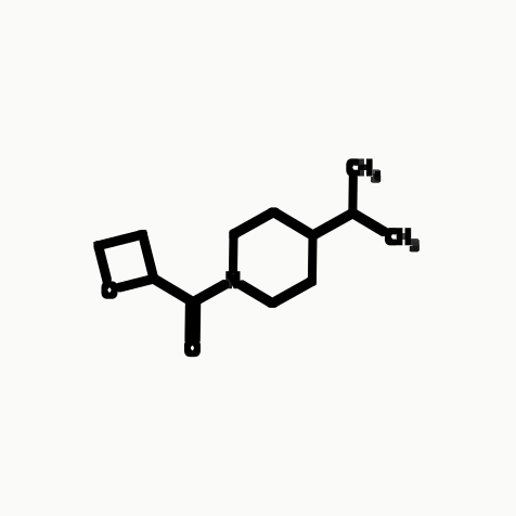 CC(C)C1CCN(C(=O)C2CCO2)CC1